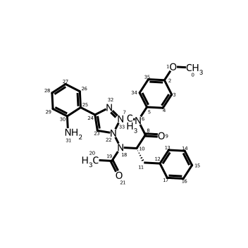 COc1ccc(N(C)C(=O)[C@H](Cc2ccccc2)N(C(C)=O)n2cc(-c3ccccc3N)nn2)cc1